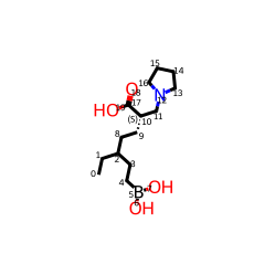 CCC(CCB(O)O)CC[C@@H](CN1CCCC1)C(=O)O